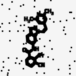 Cc1cc(/C=C\n2ncc3ccc(NC(=O)c4cccc(C#N)c4C(C)C)cc32)cc(C)n1